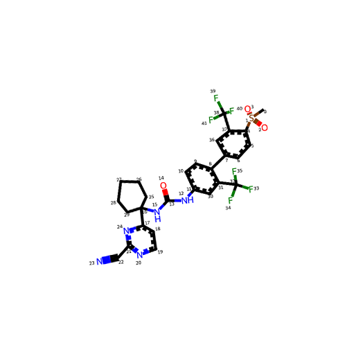 CS(=O)(=O)c1ccc(-c2ccc(NC(=O)NC3(c4ccnc(C#N)n4)CCCCC3)cc2C(F)(F)F)cc1C(F)(F)F